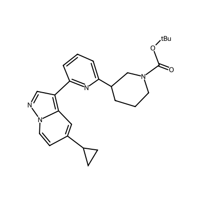 CC(C)(C)OC(=O)N1CCCC(c2cccc(-c3cnn4ccc(C5CC5)cc34)n2)C1